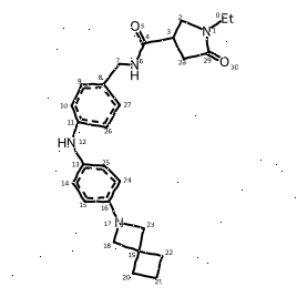 CCN1CC(C(=O)NCc2ccc(Nc3ccc(N4CC5(CCC5)C4)cc3)cc2)CC1=O